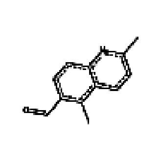 Cc1ccc2c(C)c(C=O)ccc2n1